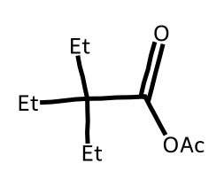 CCC(CC)(CC)C(=O)OC(C)=O